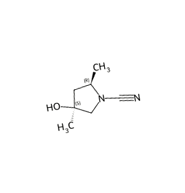 C[C@@H]1C[C@](C)(O)CN1C#N